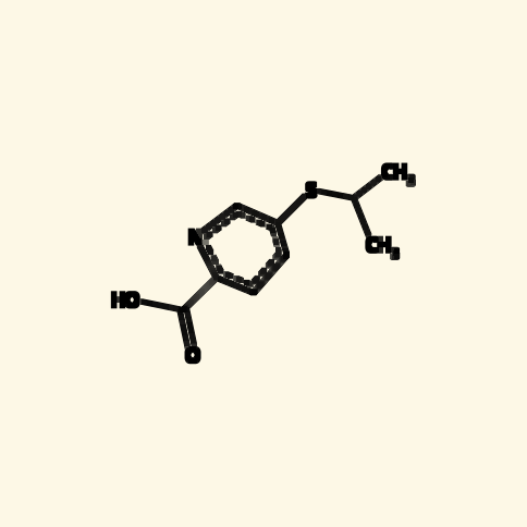 CC(C)Sc1ccc(C(=O)O)nc1